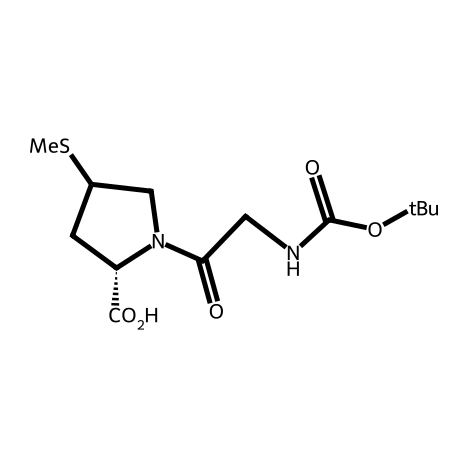 CSC1C[C@@H](C(=O)O)N(C(=O)CNC(=O)OC(C)(C)C)C1